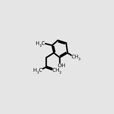 C=C(C)Cc1c(C)ccc(C)c1O